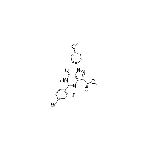 COC(=O)c1nn(-c2ccc(OC)cc2)c2c(=O)[nH]c(-c3ccc(Br)cc3F)nc12